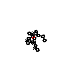 c1ccc(-c2cccc(-c3ccc4c(c3)c3ccccc3n4-c3ccc(-c4ccc5oc6cccc(-c7nc(-c8ccccc8)nc(-c8ccc9c(c8)oc8ccccc89)n7)c6c5c4)c4c3oc3ccccc34)c2)cc1